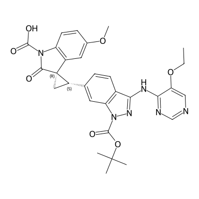 CCOc1cncnc1Nc1nn(C(=O)OC(C)(C)C)c2cc([C@@H]3C[C@@]34C(=O)N(C(=O)O)c3ccc(OC)cc34)ccc12